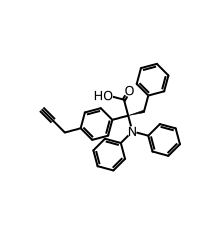 C#CCc1ccc([C@](Cc2ccccc2)(C(=O)O)N(c2ccccc2)c2ccccc2)cc1